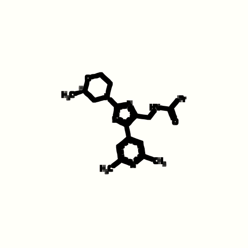 Cc1cc(-c2sc(N3CCO[C@H](C)C3)nc2CNC(=O)C(C)C)cc(C)n1